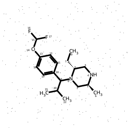 CC[C@@H]1CN[C@@H](C)CN1C(c1ccc(OC(F)F)cc1)C(C)C